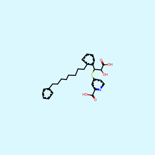 O=C(O)c1cc(SC(c2ccccc2CCCCCCCCc2ccccc2)C(O)C(=O)O)ccn1